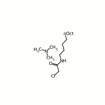 CCCCCCCCCCCCNC(=O)CCl.CN(C)C